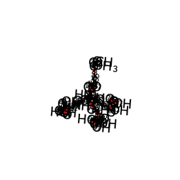 COP(=O)(O)OCCCCCCSC1CC(=O)N(CCC(=O)NC(COCCC(=O)NCCCCC(C(=O)O)N(CC(=O)O)CC(=O)O)(COCCC(=O)NCCCCC(C(=O)O)N(CC(=O)O)CC(=O)O)COCCC(=O)NCCCCC(C(=O)O)N(CC(=O)O)CC(=O)O)C1=O